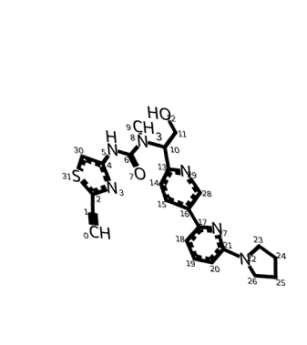 C#Cc1nc(NC(=O)N(C)C(CO)c2ccc(-c3cccc(N4CCCC4)n3)cn2)cs1